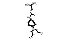 NC(O)COC(=O)Nc1ccc(N(CCCl)CCCl)cc1